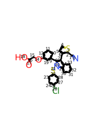 N#Cc1sccc1-c1c(-c2cccc(OCC(=O)O)c2)n(Sc2ccc(Cl)cc2)c2ccccc12